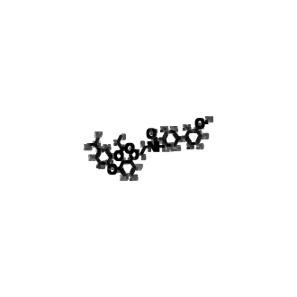 CCC(=O)Oc1c(OCCNC(=O)c2ccc(-c3cccc(OC)c3)cc2)cccc1Oc1ccc(C(C)C)cc1